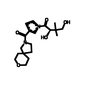 CC(C)(CO)[C@@H](O)C(=O)n1ccc(C(=O)N2CCC3(CCOCC3)C2)c1